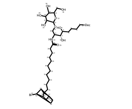 CCCCCCCCCCCCCC[C@H](O)[C@H](O)C(COC1OC(CO)C(O)C(O)C1O)NC(=O)CCCCCCCCCCC12C3C4C5C3C1C5(Br)C42